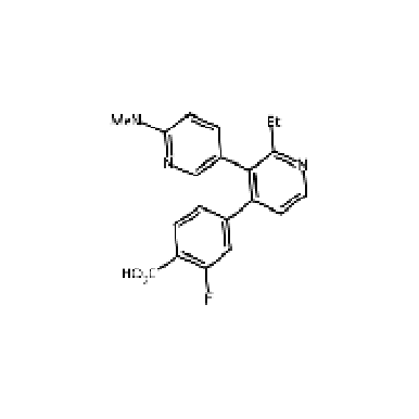 CCc1nccc(-c2ccc(C(=O)O)c(F)c2)c1-c1ccc(NC)nc1